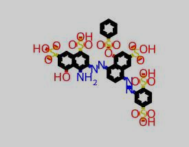 Nc1c(N=Nc2ccc(N=Nc3cc(S(=O)(=O)O)ccc3S(=O)(=O)O)c3cc(S(=O)(=O)O)cc(OS(=O)(=O)c4ccccc4)c23)cc(S(=O)(=O)O)c2cc(S(=O)(=O)O)cc(O)c12